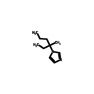 CCCC(C)(CC)n1ccnc1